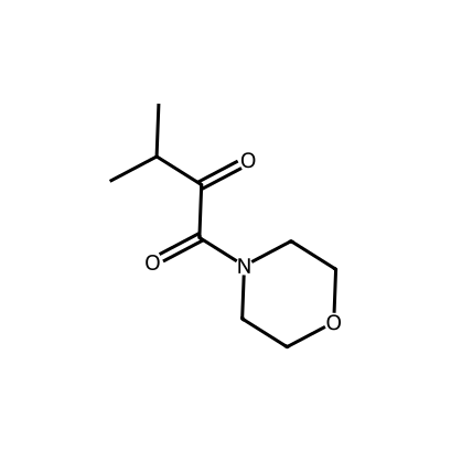 CC(C)C(=O)C(=O)N1CCOCC1